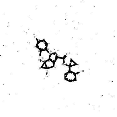 O=C(NC1(c2ccccc2F)CC1)c1nn(-c2ccc(F)cc2F)c2c1C[C@H]1C[C@@H]21